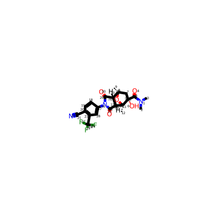 CN(C)C(=O)[C@]1(O)C[C@@]2(C)O[C@]1(C)[C@@H]1C(=O)N(c3ccc(C#N)c(C(F)(F)F)c3)C(=O)[C@@H]12